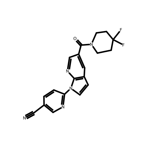 N#Cc1ccc(-n2ccc3cc(C(=O)N4CCC(F)(F)CC4)cnc32)nc1